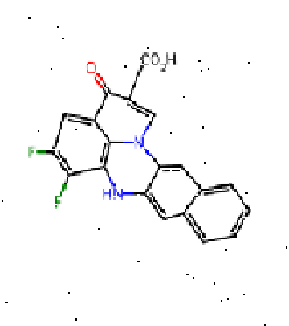 O=C(O)c1cn2c3c(c(F)c(F)cc3c1=O)Nc1cc3ccccc3cc1-2